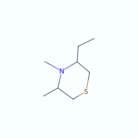 CCC1CSCC(C)N1C